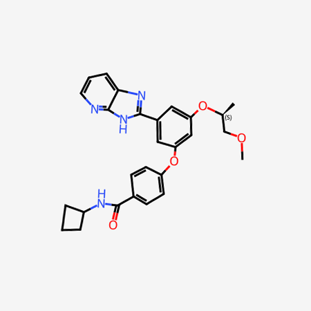 COC[C@H](C)Oc1cc(Oc2ccc(C(=O)NC3CCC3)cc2)cc(-c2nc3cccnc3[nH]2)c1